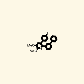 COc1cc(-c2ccc(F)cc2)c(-c2cccc(-c3ccccc3)c2)nc1OC